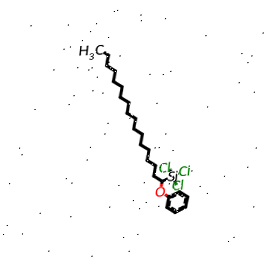 CCCCCCCCCCCCCCCCCC(Oc1ccccc1)[Si](Cl)(Cl)Cl